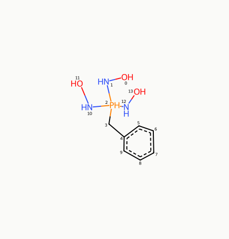 ON[PH](Cc1ccccc1)(NO)NO